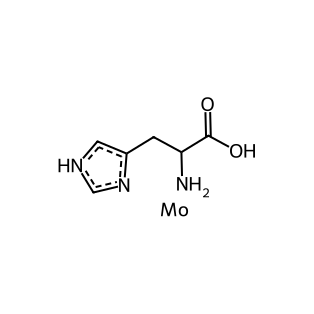 NC(Cc1c[nH]cn1)C(=O)O.[Mo]